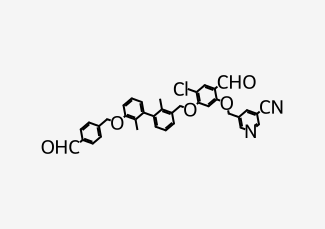 Cc1c(COc2cc(OCc3cncc(C#N)c3)c(C=O)cc2Cl)cccc1-c1cccc(OCc2ccc(C=O)cc2)c1C